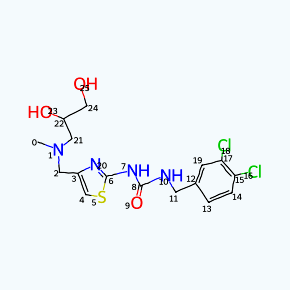 CN(Cc1csc(NC(=O)NCc2ccc(Cl)c(Cl)c2)n1)CC(O)CO